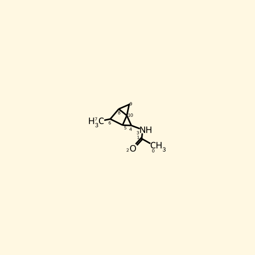 CC(=O)NC1C2C(C)C3CC312